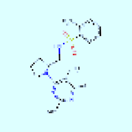 CCc1nc(SC)nc(N2CCCC2CNS(=O)(=O)c2ccccc2[N+](=O)[O-])c1C(=O)O